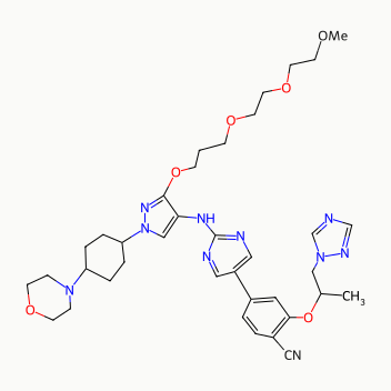 COCCOCCOCCCOc1nn(C2CCC(N3CCOCC3)CC2)cc1Nc1ncc(-c2ccc(C#N)c(OC(C)Cn3cncn3)c2)cn1